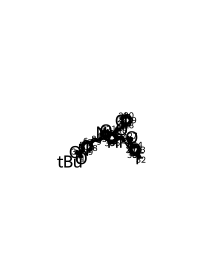 CC(C)(C)OC(=O)N1CCC(CCc2noc3c(COC4CCCCO4)c(CNC(=O)c4ccc(F)cc4)ccc23)CC1